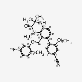 COc1cc(C#N)ccc1-c1ccc2c(c1COc1cc(F)ccc1C)N(C)C(=O)C(C)(C)N2